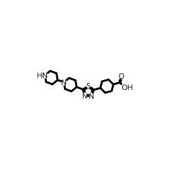 O=C(O)C1CCC(c2nnc(C3CCN(C4CCNCC4)CC3)s2)CC1